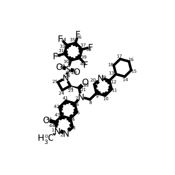 Cn1ncc2cc(N(Cc3ccc(C4CCCCC4)nc3)C(=O)[C@H]3CCN3S(=O)(=O)c3c(F)c(F)c(F)c(F)c3F)ccc2c1=O